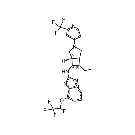 CC[C@@H]1C2CN(c3ccnc(C(F)(F)F)c3)C[C@H]2[C@@H]1Nc1nc2c(OC(F)C(F)(F)F)cccn2n1